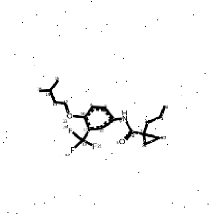 CCCC1(C(=O)Nc2ccc(OCCC(C)C)c(C(F)(F)F)c2)CC1